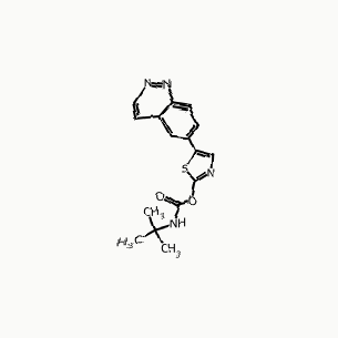 CC(C)(C)NC(=O)Oc1ncc(-c2ccc3nnccc3c2)s1